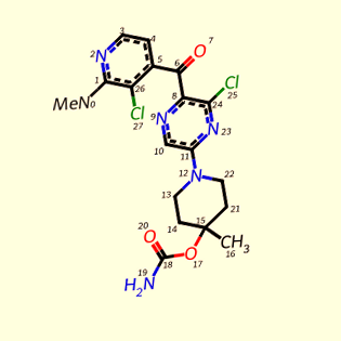 CNc1nccc(C(=O)c2ncc(N3CCC(C)(OC(N)=O)CC3)nc2Cl)c1Cl